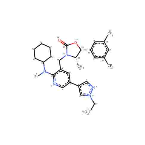 CCN(c1ncc(-c2cnn(CC(=O)O)c2)cc1CN1C(=O)O[C@H](c2cc(C(F)(F)F)cc(C(F)(F)F)c2)[C@@H]1C)C1CCCCC1